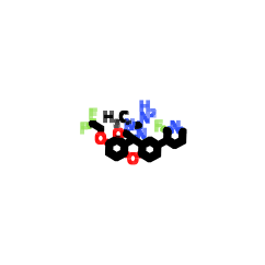 CN1C(=O)C2(N=C1N)c1cc(OCC(F)F)ccc1Oc1ccc(-c3cccnc3F)cc12